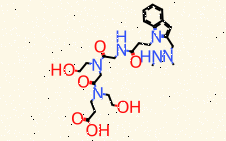 CNN(C)Cc1cc2ccccc2n1CCC(=O)NCC(=O)N(CCO)CC(=O)N(CCO)CCC(=O)O